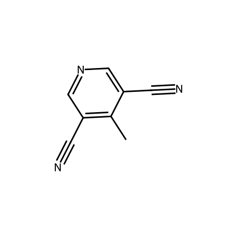 Cc1c(C#N)cncc1C#N